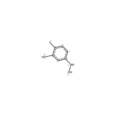 Cc1ccc(NO)cc1O